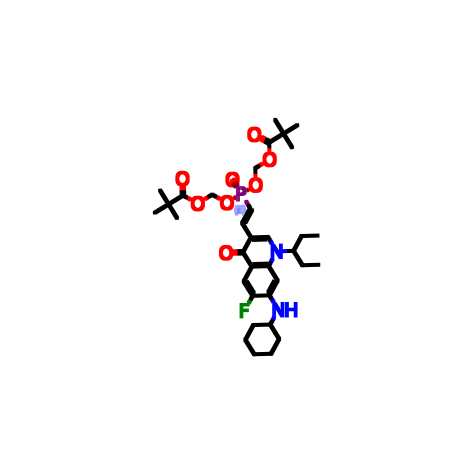 CCC(CC)n1cc(/C=C/P(=O)(OCOC(=O)C(C)(C)C)OCOC(=O)C(C)(C)C)c(=O)c2cc(F)c(NC3CCCCC3)cc21